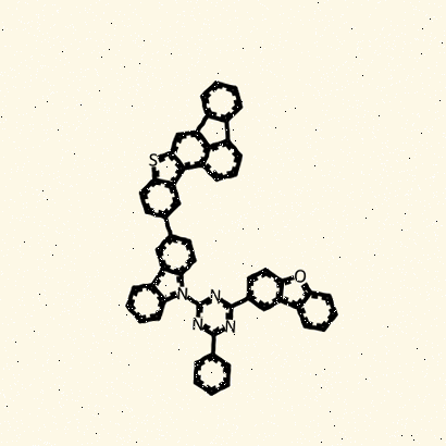 c1ccc(-c2nc(-c3ccc4oc5ccccc5c4c3)nc(-n3c4ccccc4c4cc(-c5ccc6sc7cc8c9c(cccc9c7c6c5)-c5ccccc5-8)ccc43)n2)cc1